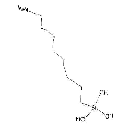 CNCCCCCCCC[Si](O)(O)O